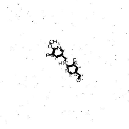 COc1ncc(CNc2ncc(C=O)cc2F)cc1F